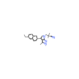 CCc1ccc2cc(-c3cn(CC(C)(C)C#N)c4nn(C)c(C)c34)ccc2c1